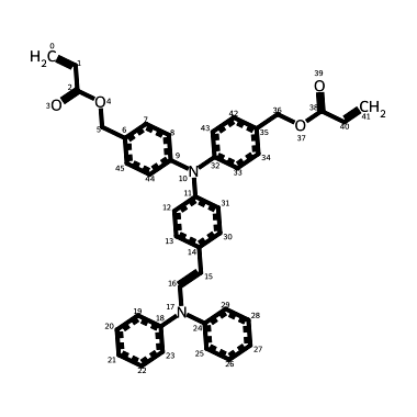 C=CC(=O)OCc1ccc(N(c2ccc(C=CN(c3ccccc3)c3ccccc3)cc2)c2ccc(COC(=O)C=C)cc2)cc1